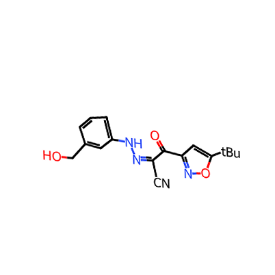 CC(C)(C)c1cc(C(=O)C(C#N)=NNc2cccc(CO)c2)no1